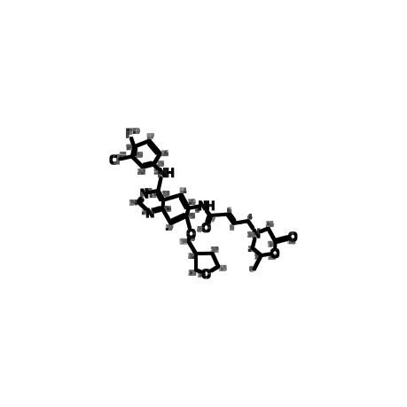 CC1CN(CC=CC(=O)Nc2cc3c(Nc4ccc(F)c(Cl)c4)ncnc3cc2OCC2CCOC2)CC(=O)O1